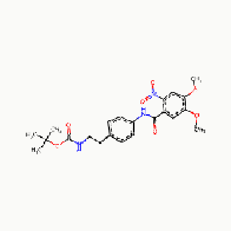 COc1cc(C(=O)Nc2ccc(CCNC(=O)OC(C)(C)C)cc2)c([N+](=O)[O-])cc1OC